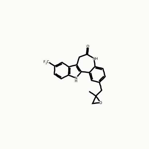 CC1(Cc2ccc3c(c2)-c2[nH]c4ccc(C(F)(F)F)cc4c2CC(=O)N3)CO1